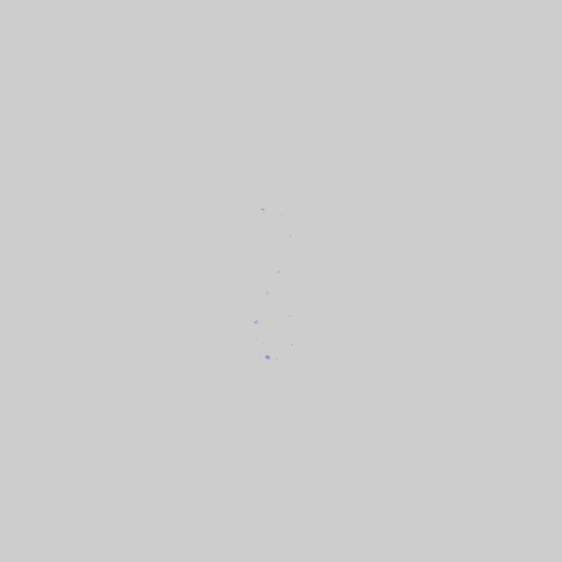 NP(N)(=S)Oc1cccc(OP(N)(N)=S)c1